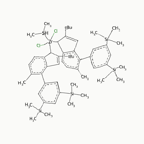 Cc1ccc2c(c1-c1cc([Si](C)(C)C)cc([Si](C)(C)C)c1)C=C(C(C)(C)C)[CH]2[Zr]([Cl])([Cl])([CH]1C(C(C)(C)C)=Cc2c1ccc(C)c2-c1cc([Si](C)(C)C)cc([Si](C)(C)C)c1)[SiH](C)C